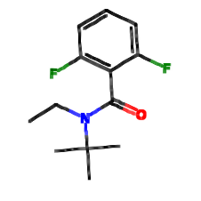 CCN(C(=O)c1c(F)cccc1F)C(C)(C)C